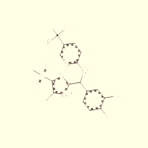 Cc1[nH]c(C(Nc2ccc(C(F)(F)F)cn2)c2ccc(F)c(Cl)c2)nc1S(C)(=O)=O